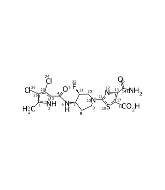 Cc1[nH]c(C(=O)N[C@@H]2CCN(c3nc(C(N)=O)c(C(=O)O)s3)C[C@@H]2F)c(Cl)c1Cl